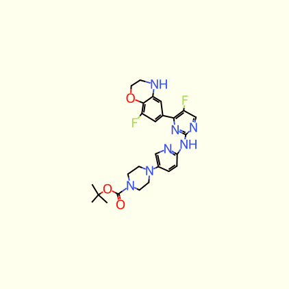 CC(C)(C)OC(=O)N1CCN(c2ccc(Nc3ncc(F)c(-c4cc(F)c5c(c4)NCCO5)n3)nc2)CC1